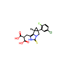 O=C(O)C(Cc1[nH]c(=S)n2c1[C@@H]1C[C@]1(c1cc(Cl)ccc1F)C2)C(=O)O